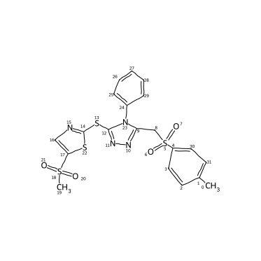 Cc1ccc(S(=O)(=O)Cc2nnc(Sc3ncc(S(C)(=O)=O)s3)n2-c2ccccc2)cc1